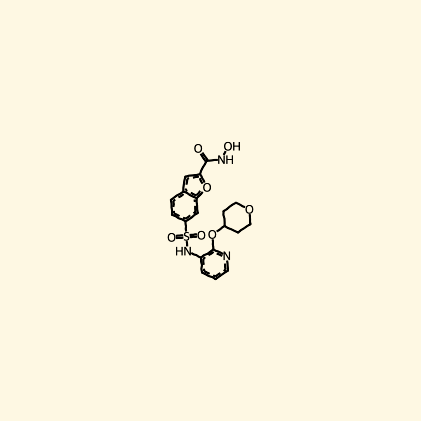 O=C(NO)c1cc2ccc(S(=O)(=O)Nc3cccnc3OC3CCOCC3)cc2o1